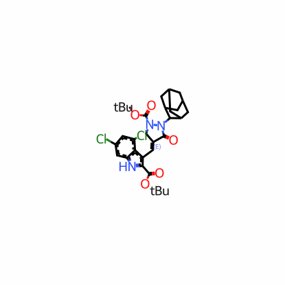 CC(C)(C)OC(=O)c1[nH]c2cc(Cl)cc(Cl)c2c1/C=C1\CN(C(=O)OC(C)(C)C)N(C2C3CC4CC(C3)CC2C4)C1=O